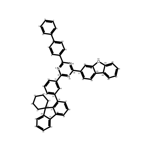 c1ccc(-c2ccc(-c3nc(-c4cccc(-c5cccc6c5C5(CCCCC5)c5ccccc5-6)c4)nc(-c4ccc5c(c4)oc4ccccc45)n3)cc2)cc1